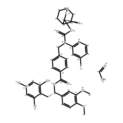 COc1ccc([C@H](Cc2c(Cl)c[n+]([O-])cc2Cl)OC(=O)c2ccc(CN(C(=O)O[C@H]3CN4CCC3CC4)c3cc(F)ccn3)cc2)cc1OC.O=CO